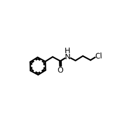 O=C(Cc1ccccc1)NCCCCl